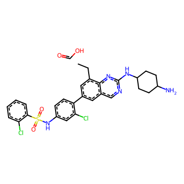 CCc1cc(-c2ccc(NS(=O)(=O)c3ccccc3Cl)cc2Cl)cc2cnc(NC3CCC(N)CC3)nc12.O=CO